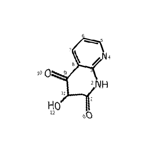 O=C1Nc2ncccc2C(=O)C1O